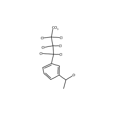 CC([O])c1cccc(C(Cl)(Cl)C(Cl)(Cl)C(Cl)(Cl)C(Cl)(Cl)Cl)c1